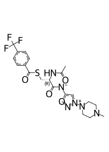 CC(=O)N[C@@H](CSC(=O)c1ccc(C(F)(F)F)cc1)C(=O)[N-]c1c[n+](N2CCN(C)CC2)no1